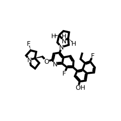 CCc1c(F)ccc2cc(O)cc(-c3ccc4c(N5C[C@H]6CC[C@@H](C5)N6)cc(OC[C@@]56CCCN5C[C@H](F)C6)nc4c3F)c12